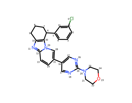 Clc1cccc(C2CCCc3nc4ccc(-c5cnc(N6CCOCC6)nc5)cn4c32)c1